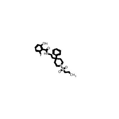 CCCS(=O)(=O)N1CCC(CCNC(=O)c2c(O)cccc2F)(c2ccccc2)CC1